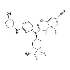 C[C@]1(C(N)=O)CC[C@@H](n2c(Nc3c(F)cc(C#N)cc3Cl)nc3cnc(N[C@@H]4CC[C@@H](O)C4)nc32)CC1